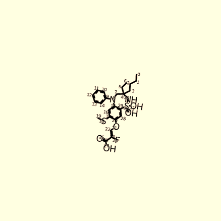 CCCCC1(CC)CN(c2ccccc2)c2cc(SC)c(O/C=C(\F)C(=O)O)cc2S(O)(O)N1